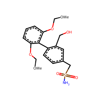 COCOc1cccc(OCOC)c1-c1ccc(CS(N)(=O)=O)cc1CO